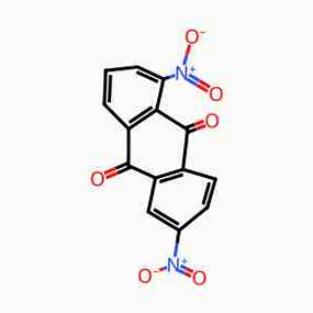 O=C1c2cc([N+](=O)[O-])ccc2C(=O)c2c1cccc2[N+](=O)[O-]